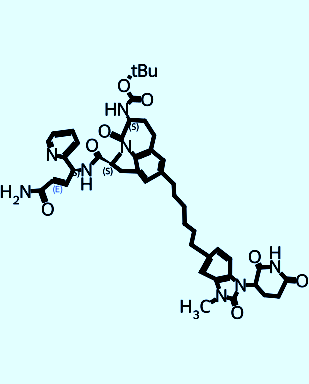 Cn1c(=O)n(C2CCC(=O)NC2=O)c2ccc(CCCCCCc3cc4c5c(c3)C[C@@H](C(=O)N[C@@H](/C=C/C(N)=O)c3ccccn3)N5C(=O)[C@@H](NC(=O)OC(C)(C)C)CC4)cc21